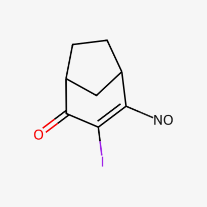 O=NC1=C(I)C(=O)C2CCC1C2